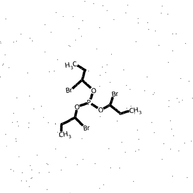 CCC(Br)OP(OC(Br)CC)OC(Br)CC